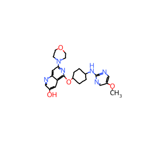 COc1cnc(NC2CCC(Oc3nc(N4CCOCC4)cc4ncc(O)cc34)CC2)nc1